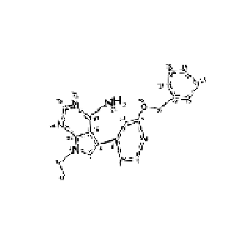 CCn1cc(-c2cccc(OCc3ccccc3)c2)c2c(N)ncnc21